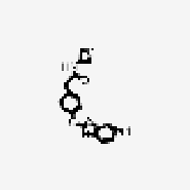 O=C(Cc1ccc(Oc2nc3ccc(Cl)cc3s2)cc1)NC1COC1